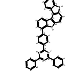 c1ccc(-c2nc(-c3ccccc3)nc(-c3ccc(-c4cccc5c4oc4ccc6sc7ccccc7c6c45)cc3)n2)cc1